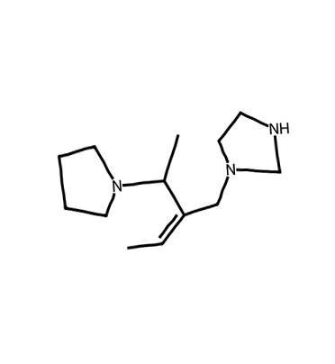 CC=C(CN1CCNC1)C(C)N1CCCC1